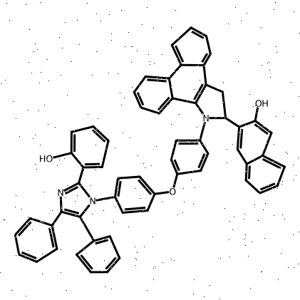 Oc1ccccc1-c1nc(-c2ccccc2)c(-c2ccccc2)n1-c1ccc(Oc2ccc(N3c4c(c5ccccc5c5ccccc45)CC3c3cc4ccccc4cc3O)cc2)cc1